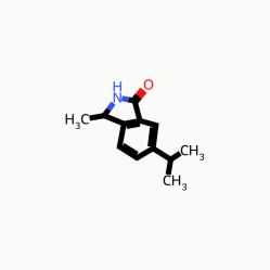 CC(C)c1ccc2c(c1)C(=O)NC2C